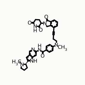 CN(CCC#Cc1cccc2c1CN(C1CCC(=O)NC1=O)C2=O)c1ccc(C(=O)Nc2cc3[nH]c([C@H]4CCCN4C)cc3cn2)cc1